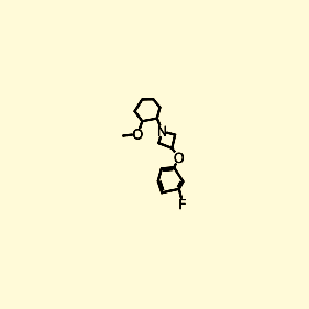 COC1CCCCC1N1CC(Oc2cccc(F)c2)C1